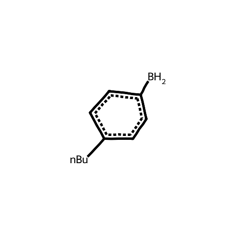 Bc1ccc(CCCC)cc1